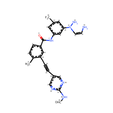 Cc1ccc(C(=O)Nc2cc(N(N)/C=C\N)cc(C(F)(F)F)c2)cc1C#Cc1cnc(NC=O)nc1